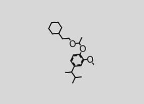 COc1cc(C(C)C(C)C)ccc1OC(C)OCCC1CCCCC1